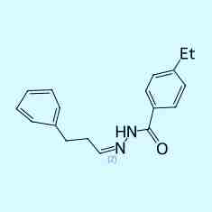 CCc1ccc(C(=O)N/N=C\CCc2ccccc2)cc1